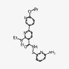 CCN(CC)c1nc(-c2ccc(OC(C)C)nc2)ccc1C(=O)NSc1cccc(N)n1